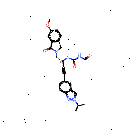 COc1ccc2c(c1)C(=O)N(C[C@@H](C#Cc1ccc3nn(C(C)C)cc3c1)NC(=O)NC=O)C2